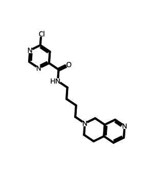 O=C(NCCCCN1CCc2ccncc2C1)c1cc(Cl)ncn1